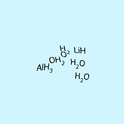 O.O.O.O.[AlH3].[LiH]